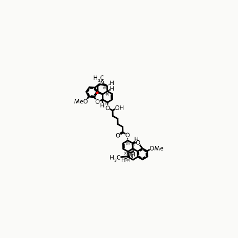 COc1ccc2c3c1O[C@H]1[C@@H](OC(O)CCCCC(=O)O[C@H]4C=C[C@H]5[C@H]6Cc7ccc(OC)c8c7[C@@]5(CCN6C)[C@H]4O8)C=C[C@H]4[C@@H](C2)N(C)CCC341